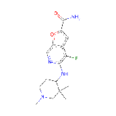 CN1CCC(Nc2ncc3oc(C(N)=O)cc3c2F)C(C)(C)C1